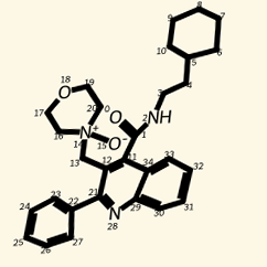 O=C(NCCC1CCCCC1)c1c(C[N+]2([O-])CCOCC2)c(-c2ccccc2)nc2ccccc12